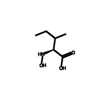 CCC(C)[C@H](NO)C(=O)O